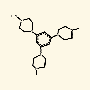 CN1CCN(c2cc(N3CCN(C)CC3)cc(N3CCN(N)CC3)c2)CC1